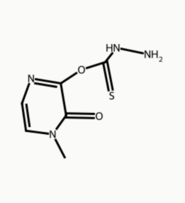 Cn1ccnc(OC(=S)NN)c1=O